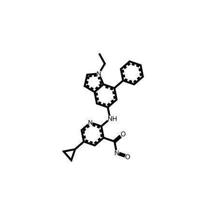 CCn1ccc2cc(Nc3ncc(C4CC4)cc3C(=O)N=O)cc(-c3ccccc3)c21